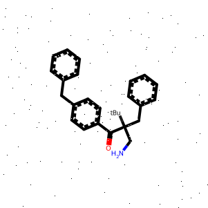 CC(C)(C)C(CN)(Cc1ccccc1)C(=O)c1ccc(Cc2ccccc2)cc1